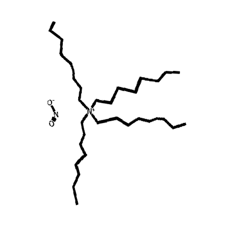 CCCCCCCC[N+](CCCCCCCC)(CCCCCCCC)CCCCCCCC.O=N[O-]